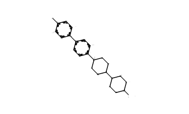 CCCC1CCC(C2CCC(c3ccc(-c4ccc(I)cc4)cc3)CC2)CC1